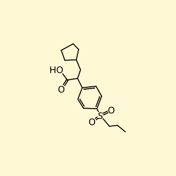 CCCS(=O)(=O)c1ccc(C(CC2CCCC2)C(=O)O)cc1